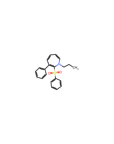 CCCN1C=CC=CC(c2ccccc2)=C1S(=O)(=O)c1ccccc1